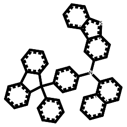 c1ccc(C2(c3ccc(N(c4ccc5sc6ccccc6c5c4)c4cccc5ccccc45)cc3)c3ccccc3-c3ccccc32)cc1